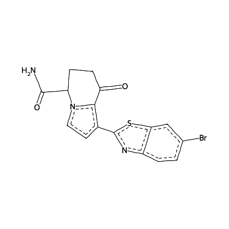 NC(=O)C1CCC(=O)c2c(-c3nc4ccc(Br)cc4s3)ccn21